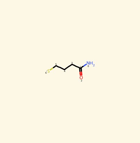 NC(=O)CCC[S]